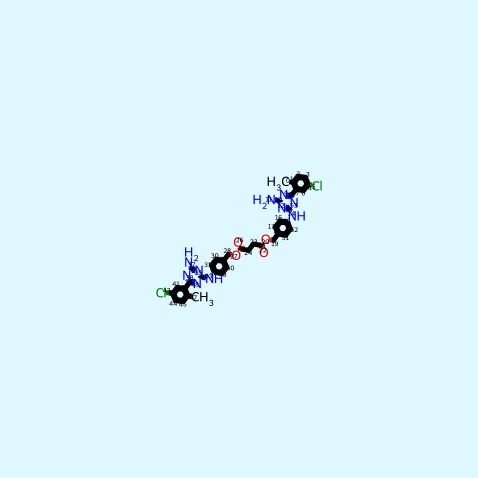 Cc1ccc(Cl)cc1-c1nc(N)nc(Nc2ccc(COC(=O)CCC(=O)OCc3ccc(Nc4nc(N)nc(-c5cc(Cl)ccc5C)n4)cc3)cc2)n1